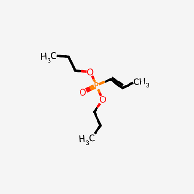 CC=CP(=O)(OCCC)OCCC